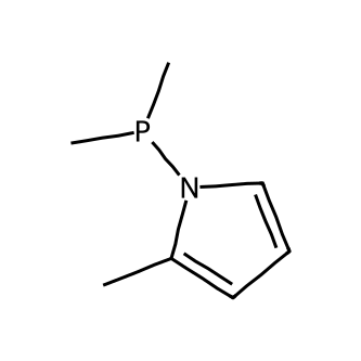 Cc1cccn1P(C)C